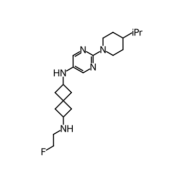 CC(C)C1CCN(c2ncc(NC3CC4(CC(NCCF)C4)C3)cn2)CC1